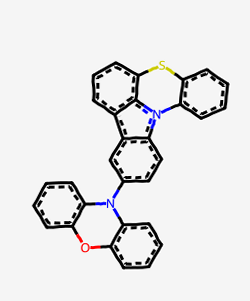 c1ccc2c(c1)Oc1ccccc1N2c1ccc2c(c1)c1cccc3c1n2-c1ccccc1S3